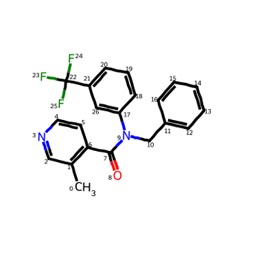 Cc1cnccc1C(=O)N(Cc1ccccc1)c1cccc(C(F)(F)F)c1